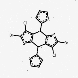 Clc1c(Br)sc2c1C(c1cccs1)c1sc(Br)c(Cl)c1C2c1cccs1